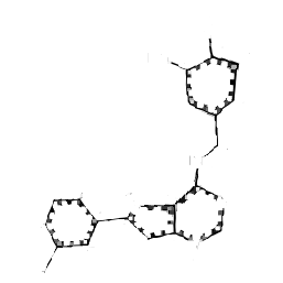 Cc1cccc(-c2cc3ncnc(NCc4ccc(O)c(O)c4)c3s2)c1